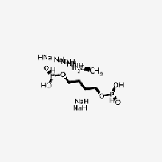 C=C.N.N.O=[PH](O)OCCCCO[PH](=O)O.[NaH].[NaH].[NaH].[NaH].[NaH]